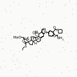 COCC(=O)O[C@]1(C(=O)SCF)CC[C@H]2[C@@H]3CCC4=Cc5c(cnn5-c5cccc(C(=O)N6CCC[C@@H]6C(N)=O)c5)C[C@]4(C)[C@@]3(F)[C@@H](O)C[C@@]21C